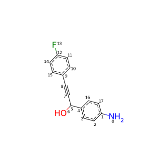 Nc1ccc(C(O)C#Cc2ccc(F)cc2)cc1